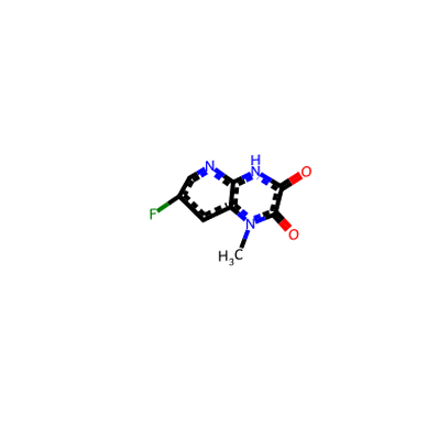 Cn1c(=O)c(=O)[nH]c2ncc(F)cc21